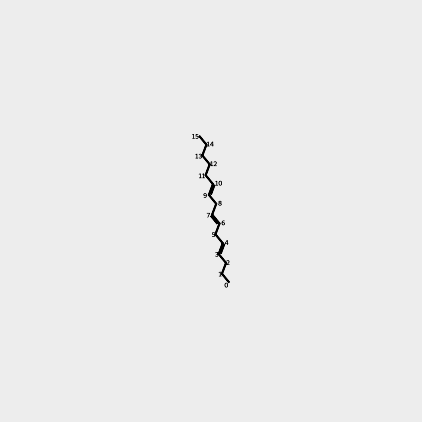 CCCC=CCC=CCC=CCCCCC